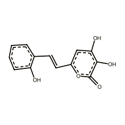 O=c1oc(C=Cc2ccccc2O)cc(O)c1O